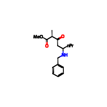 CCCC(CC(=O)C(C)C(=O)OC)NCc1ccccc1